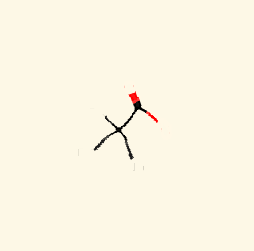 CCC(CC)(CC)C([O])=O